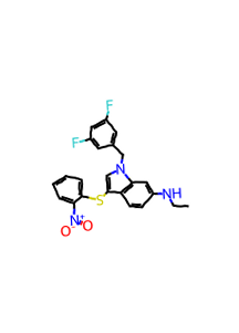 CCNc1ccc2c(Sc3ccccc3[N+](=O)[O-])cn(Cc3cc(F)cc(F)c3)c2c1